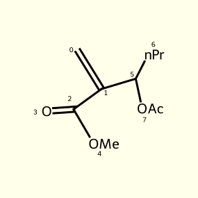 C=C(C(=O)OC)C(CCC)OC(C)=O